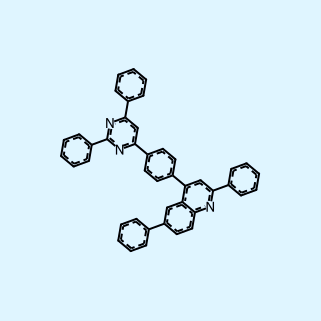 c1ccc(-c2ccc3nc(-c4ccccc4)cc(-c4ccc(-c5cc(-c6ccccc6)nc(-c6ccccc6)n5)cc4)c3c2)cc1